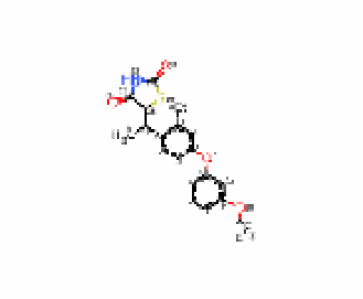 CCc1cc(Oc2cccc(OC(F)(F)F)c2)ccc1C(C)C1SC(=O)NC1=O